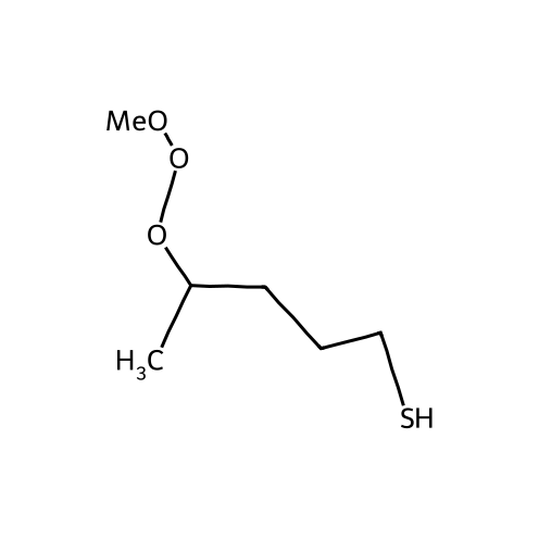 COOOC(C)CCCS